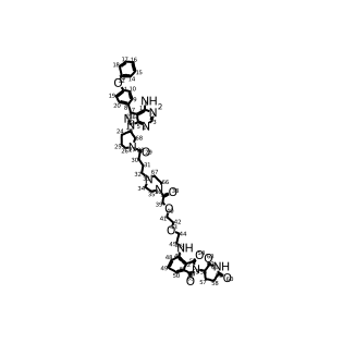 Nc1ncnc2c1c(-c1ccc(Oc3ccccc3)cc1)nn2[C@@H]1CCCN(C(=O)CCCN2CCN(C(=O)COCCOCCNc3cccc4c3C(=O)N(C3CCC(=O)NC3=O)C4=O)CC2)C1